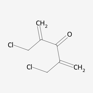 C=C(CCl)C(=O)C(=C)CCl